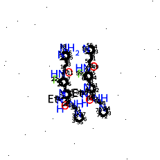 CCNc1nc(-c2ccc(NC(=O)C=Cc3ccc(N)nc3)c(F)c2)ccc1C(=O)NCCN1CCCCC1.CCNc1nc(-c2ccc(NC(=O)C=Cc3cccnc3)c(F)c2)ccc1C(=O)NCCN1CCCCC1